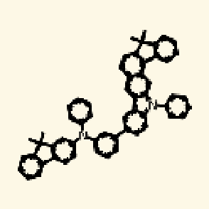 CC1(C)c2ccccc2-c2ccc(N(c3ccccc3)c3cccc(-c4ccc5c(c4)c4cc6ccc7c(c6cc4n5-c4ccccc4)-c4ccccc4C7(C)C)c3)cc21